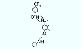 Cc1c(OCCCNC2CCCC2)ccc(C(C)N2CCN(C(=O)c3ccc(C(F)(F)F)cc3)CC2)c1C